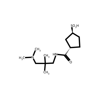 CN(C)CC(C)(C)CNC(=O)[C@H]1CC[C@H](S(=O)(=O)O)C1